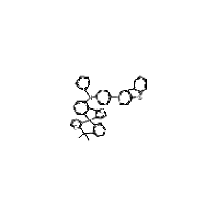 CC1(C)c2ccccc2C2(c3ccccc3-c3c(N(c4ccccc4)c4ccc(-c5ccc6sc7ccccc7c6c5)cc4)cccc32)c2ccccc21